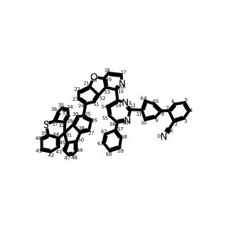 N#Cc1ccccc1-c1ccc(C2=NC(c3nccc4oc5ccc(-c6ccc7c(c6)C6(c8ccccc8Sc8ccccc86)c6ccccc6-7)cc5c34)=C=CC(c3ccccc3)=N2)cc1